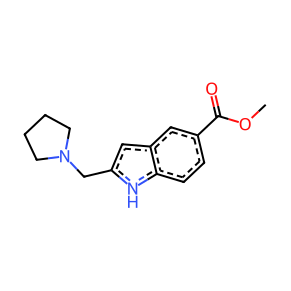 COC(=O)c1ccc2[nH]c(CN3CCCC3)cc2c1